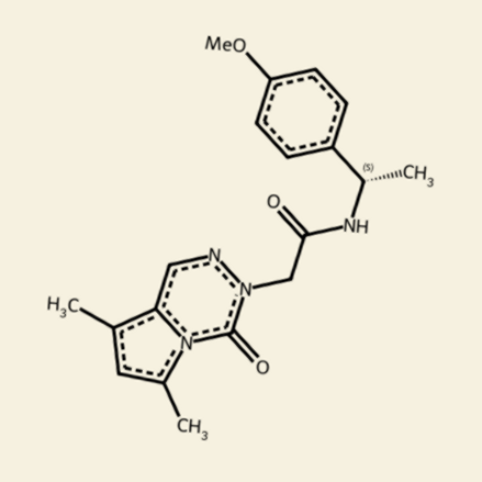 COc1ccc([C@H](C)NC(=O)Cn2ncc3c(C)cc(C)n3c2=O)cc1